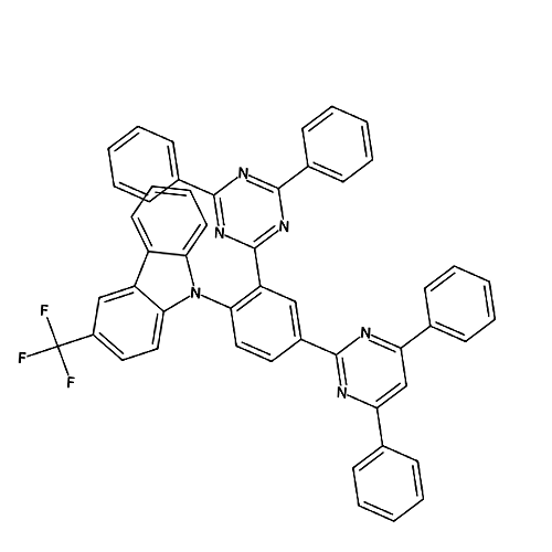 FC(F)(F)c1ccc2c(c1)c1ccccc1n2-c1ccc(-c2nc(-c3ccccc3)cc(-c3ccccc3)n2)cc1-c1nc(-c2ccccc2)nc(-c2ccccc2)n1